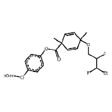 CCCCCCCCCCOc1ccc(OC(=O)C2(C)C=CC(C)(OCC(F)C(F)CC)C=C2)cc1